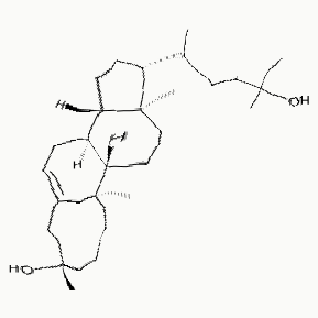 CC(CCC(C)(C)O)[C@H]1CC[C@H]2[C@@H]3CC=C4C[C@@](C)(O)CC[C@]4(C)[C@H]3CC[C@]12C